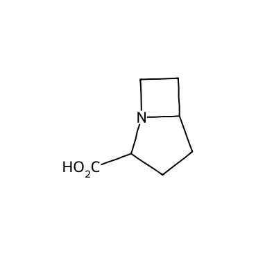 O=C(O)C1CCC2CCN21